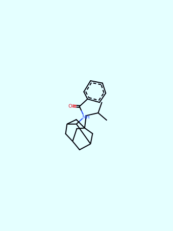 CC(C)CC12CC3CC(C1)C(NC(=O)c1ccccc1)C(C3)C2